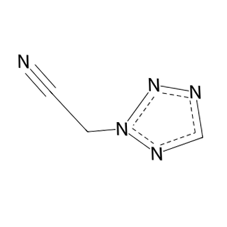 N#CCn1ncnn1